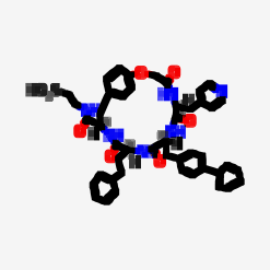 O=C1COc2ccc(cc2)C[C@@H](C(=O)NCCS(=O)(=O)O)NC(=O)[C@H](CCc2ccccc2)NC(=O)[C@@H](Cc2ccc(-c3ccccc3)cc2)NC(=O)[C@H](Cc2ccncc2)N1